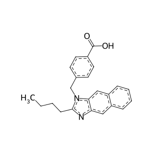 CCCCc1nc2cc3ccccc3cc2n1Cc1ccc(C(=O)O)cc1